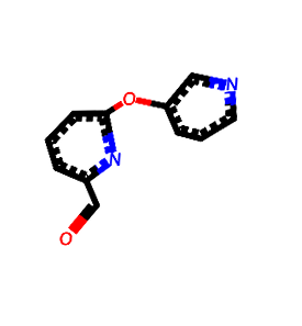 O=Cc1cccc(Oc2cccnc2)n1